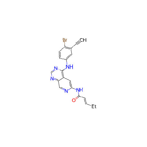 C#Cc1cc(Nc2ncnc3cnc(NC(=O)/C=C/CC)cc23)ccc1Br